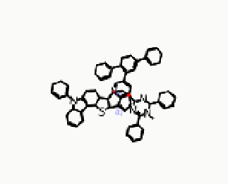 CN1C(c2ccccc2)=NC(c2cc(-c3cc(C4=CCCC=C4)ccc3C3=CCCC=C3)cnc2/C2=C\CC/C=C\C3C2SC2C4=C(C=CC23)N(C2=CCCC=C2)C2CC=CCC42)=NC1C1=CCCCC1